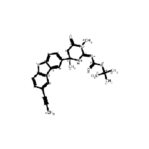 CC#Cc1ccc2sc3ccc([C@]4(C)CC(=O)N(C)/C(=N/C(=O)OC(C)(C)C)N4)cc3c2c1